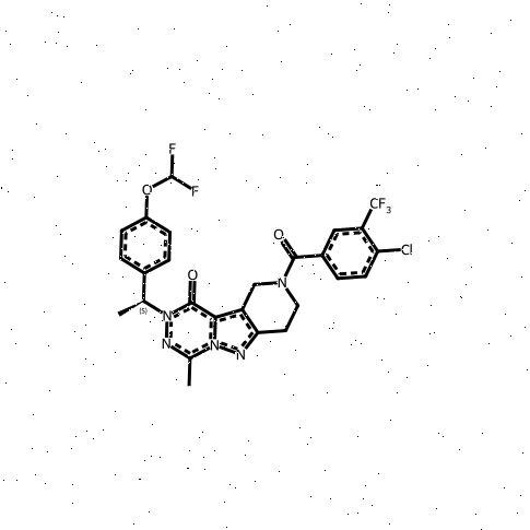 Cc1nn([C@@H](C)c2ccc(OC(F)F)cc2)c(=O)c2c3c(nn12)CCN(C(=O)c1ccc(Cl)c(C(F)(F)F)c1)C3